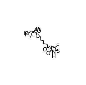 CC(C)CC(C)(C(=O)OCCCCCC(=O)n1cc(F)c(=S)[nH]c1=O)C(C)C